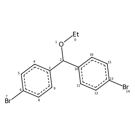 CCOC(c1ccc(Br)cc1)c1ccc(Br)cc1